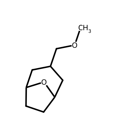 COCC1CC2CCC(C1)O2